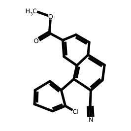 COC(=O)c1ccc2ccc(C#N)c(-c3ccccc3Cl)c2c1